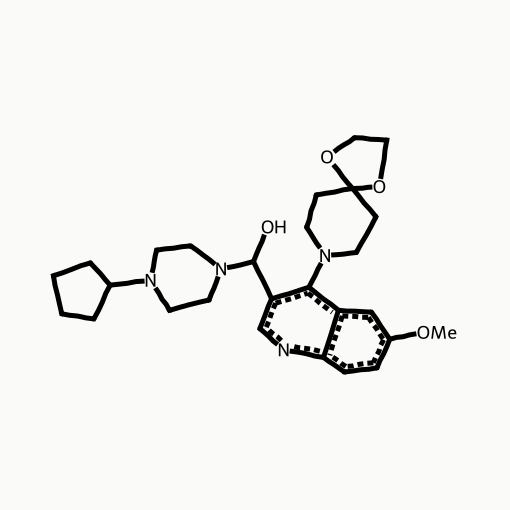 COc1ccc2ncc(C(O)N3CCN(C4CCCC4)CC3)c(N3CCC4(CC3)OCCO4)c2c1